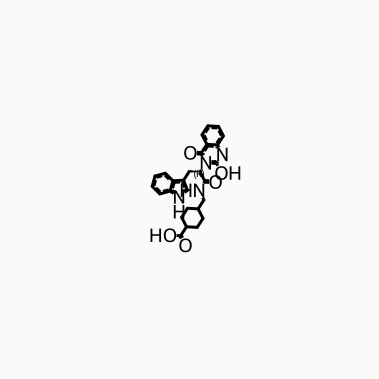 O=C(O)C1CCC(CNC(=O)[C@@H](Cc2c[nH]c3ccccc23)n2c(O)nc3ccccc3c2=O)CC1